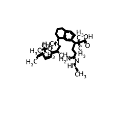 C\C=C/C=C\C(OC(C)(C)C)=C(/C)CN(C)C1CCCc2ccc(C(CC/C(N)=N/NCC)C(C)(C)C(=O)O)cc21